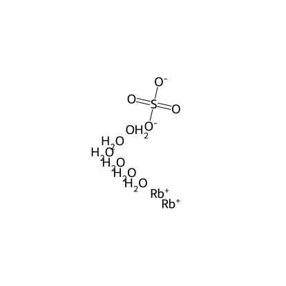 O.O.O.O.O.O.O=S(=O)([O-])[O-].[Rb+].[Rb+]